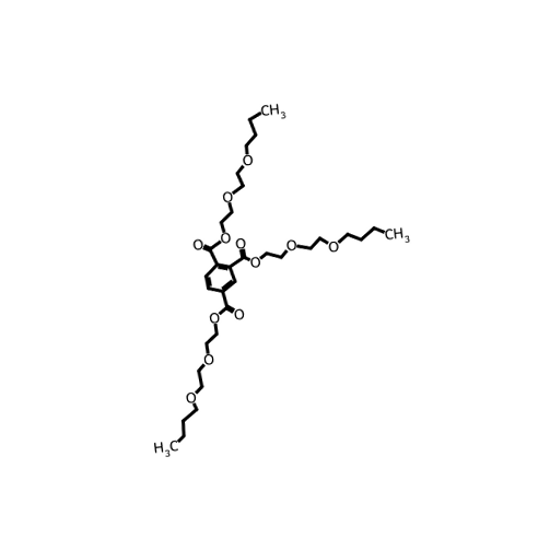 CCCCOCCOCCOC(=O)c1ccc(C(=O)OCCOCCOCCCC)c(C(=O)OCCOCCOCCCC)c1